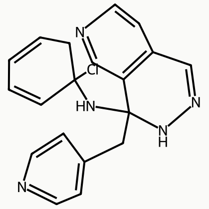 ClC1(NC2(Cc3ccncc3)NN=Cc3ccncc32)C=CC=CC1